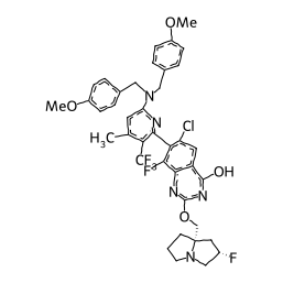 COc1ccc(CN(Cc2ccc(OC)cc2)c2cc(C)c(C(F)(F)F)c(-c3c(Cl)cc4c(O)nc(OC[C@@]56CCCN5C[C@@H](F)C6)nc4c3F)n2)cc1